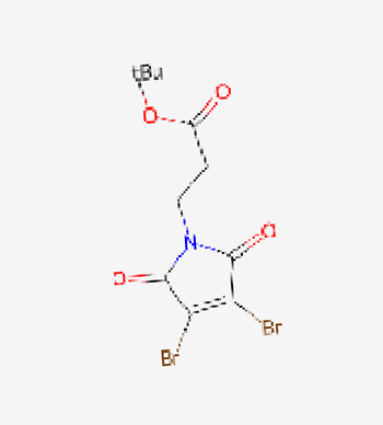 CC(C)(C)OC(=O)CCN1C(=O)C(Br)=C(Br)C1=O